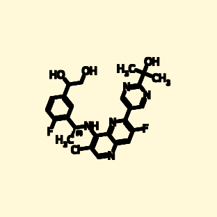 C[C@@H](Nc1c(Cl)cnc2cc(F)c(-c3cnc(C(C)(C)O)nc3)nc12)c1cc(C(O)CO)ccc1F